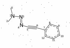 CN(C)N=NC#Cc1ccccc1